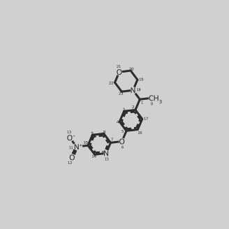 CC(c1ccc(Oc2ccc([N+](=O)[O-])cn2)cc1)N1CCOCC1